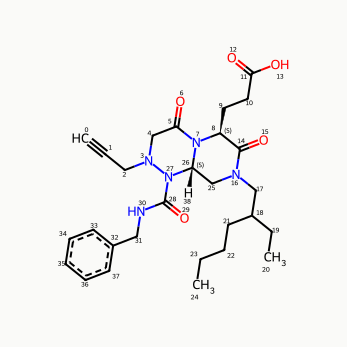 C#CCN1CC(=O)N2[C@@H](CCC(=O)O)C(=O)N(CC(CC)CCCC)C[C@@H]2N1C(=O)NCc1ccccc1